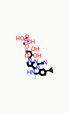 C[C@H](Nc1nc(C#N)nc2c1ccn2[C@@H]1O[C@H](COCP(=O)(O)O)[C@@H](O)[C@H]1O)c1ccc(C2CC2)cc1